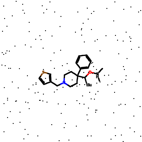 C[SiH](C)OC(C(C)(C)C)C1(c2ccccc2)CCN(Cc2ccsc2)CC1